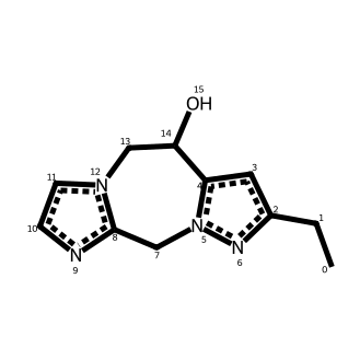 CCc1cc2n(n1)Cc1nccn1CC2O